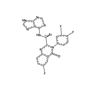 CC[C@H](Nc1ncnc2[nH]cnc12)c1nc2ccc(F)cc2c(=O)n1-c1ccc(F)c(F)c1